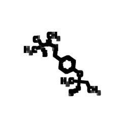 CCC(C)(Oc1ccc(/C=N/N(C)P(C)(=S)Cl)cc1)P=S